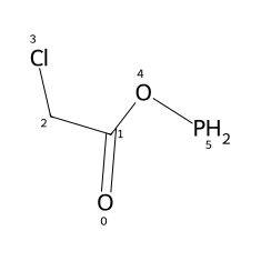 O=C(CCl)OP